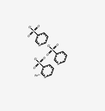 O=S(=O)([O-])c1cccnc1.O=S(=O)([O-])c1cccnc1.O=S(=O)([O-])c1cccnc1.[Fe+3]